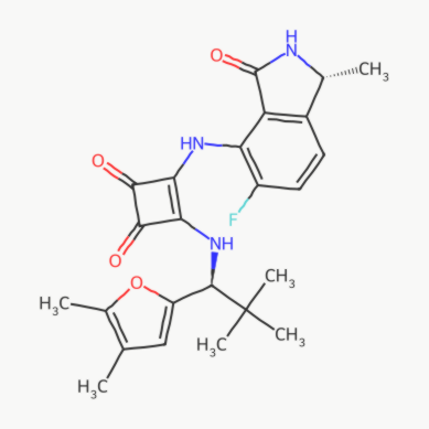 Cc1cc([C@@H](Nc2c(Nc3c(F)ccc4c3C(=O)N[C@@H]4C)c(=O)c2=O)C(C)(C)C)oc1C